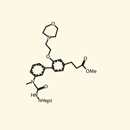 CCCCCCCNC(=O)N(C)c1cccc(-c2ccc(CCC(=O)OC)cc2OCCN2CCOCC2)c1